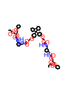 C=CC(=O)OCC(COc1ccccc1)OC(=O)NCc1cccc(CNC(=O)OCCOc2ccc(C3(c4ccc(OCCOC(=O)NCc5cccc(CNC(=O)OCC(COc6ccccc6)OC(=O)C=C)c5)cc4)c4ccccc4-c4ccccc43)cc2)c1